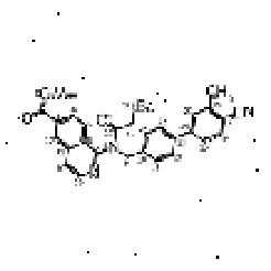 COC(=O)c1ccc2c(N(Cc3ccc(-c4ccc(C#N)c(C)c4)cc3)C(=O)CC(C)(C)C)nccc2c1